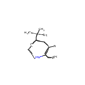 CCC(C)(C)C1C/C=C\CN/C(C(C)C)=C(/C(C)C)C1